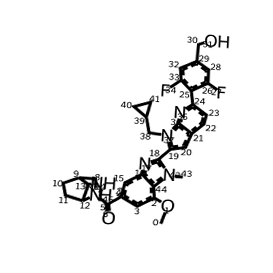 COc1cc(C(=O)N2CC3CCC2[C@@H]3N)cc2nc(-c3cc4ccc(-c5c(F)cc(CO)cc5F)nc4n3CC3CC3)n(C)c12